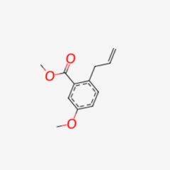 C=CCc1ccc(OC)cc1C(=O)OC